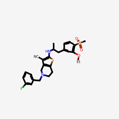 CCOc1cc(CC(C)Nc2sc3c(c2C#N)CN(Cc2cccc(F)c2)CC3)ccc1S(C)(=O)=O